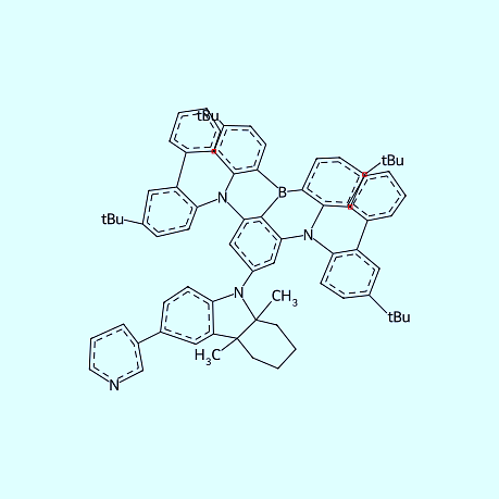 CC(C)(C)c1ccc(N2c3cc(C(C)(C)C)ccc3B3c4ccc(C(C)(C)C)cc4N(c4ccc(C(C)(C)C)cc4-c4ccccc4)c4cc(N5c6ccc(-c7cccnc7)cc6C6(C)CCCCC56C)cc2c43)c(-c2ccccc2)c1